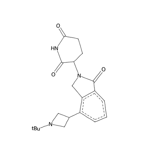 CC(C)(C)N1CC(c2cccc3c2CN(C2CCC(=O)NC2=O)C3=O)C1